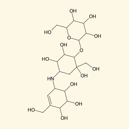 OCC1=CC(NC2CC(O)(CO)C(OC3OC(CO)C(O)C(O)C3O)C(O)C2O)C(O)C(O)C1O